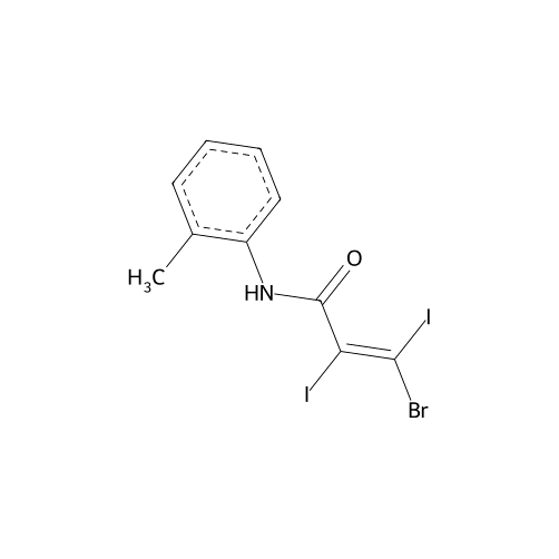 Cc1ccccc1NC(=O)C(I)=C(Br)I